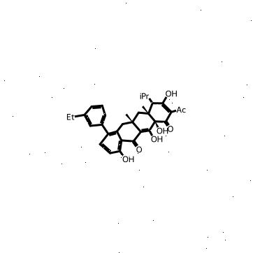 CCc1cccc(-c2ccc(O)c3c2C[C@]2(C)C[C@]4(C)C(C(C)C)C(O)=C(C(C)=O)C(=O)[C@]4(O)C(O)=C2C3=O)c1